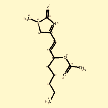 CCCCCC(C=CC1=NC(=S)N(C)C1)OC(C)=O